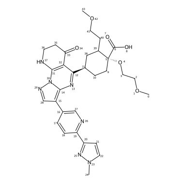 COCCO[C@]1(C(=O)O)CC[C@@H](c2nc3c(-c4ccc(-c5ccn(C)n5)nc4)cnn3c3c2C(=O)CCN3)CC1CCOC